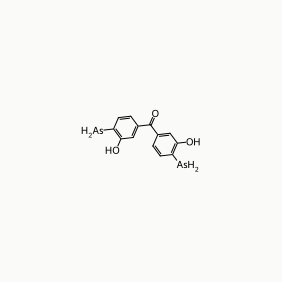 O=C(c1ccc([AsH2])c(O)c1)c1ccc([AsH2])c(O)c1